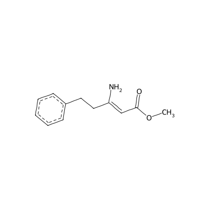 COC(=O)C=C(N)CCc1ccccc1